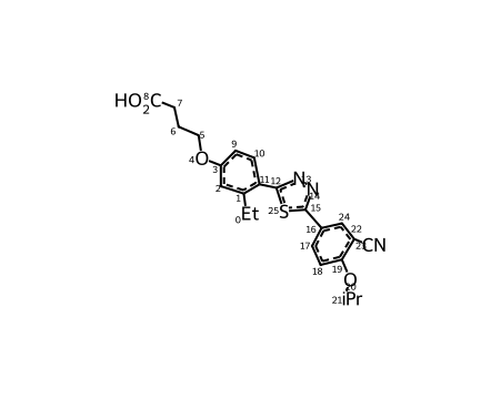 CCc1cc(OCCCC(=O)O)ccc1-c1nnc(-c2ccc(OC(C)C)c(C#N)c2)s1